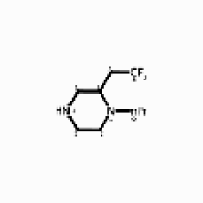 [CH2]CCN1CCNCC1CC(F)(F)F